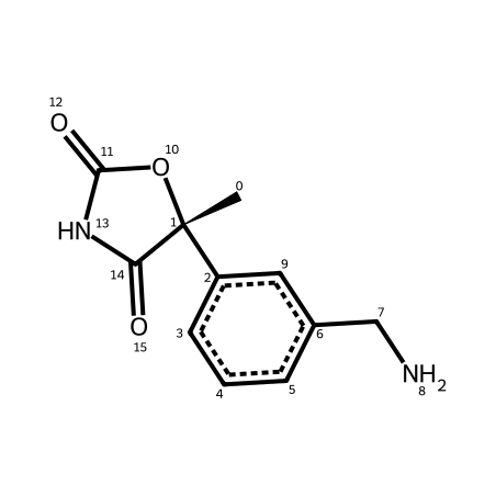 C[C@]1(c2cccc(CN)c2)OC(=O)NC1=O